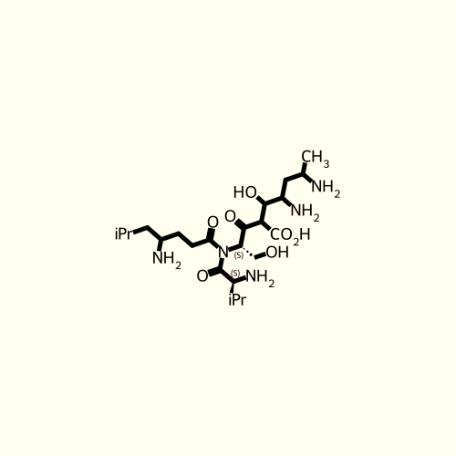 CC(C)CC(N)CCC(=O)N(C(=O)[C@@H](N)C(C)C)[C@@H](CO)C(=O)C(C(=O)O)C(O)C(N)CC(C)N